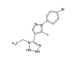 CCN1NNN=C1c1cnn(-c2ccc(Br)cc2)c1I